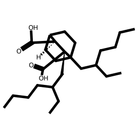 CCCCC(CC)CC12CCC(CC1)[C@H](C(=O)O)[C@@]2(CC(CC)CCCC)C(=O)O